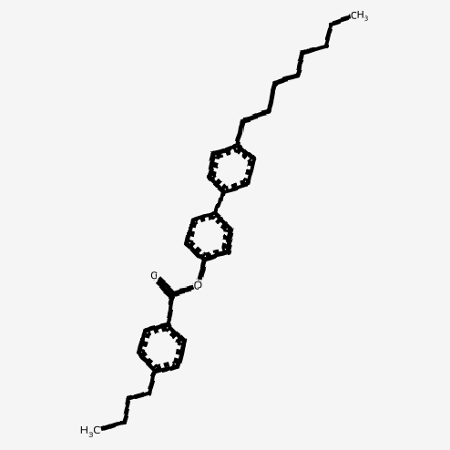 CCCCCCCCc1ccc(-c2ccc(OC(=O)c3ccc(CCCC)cc3)cc2)cc1